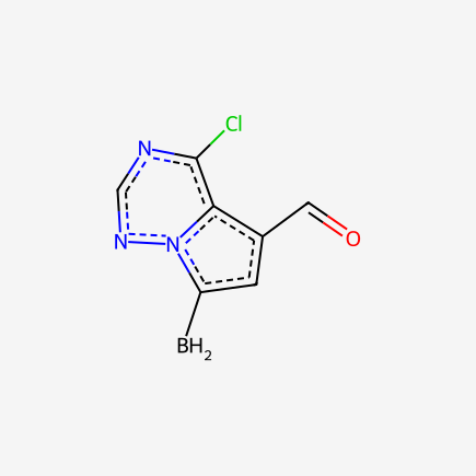 Bc1cc(C=O)c2c(Cl)ncnn12